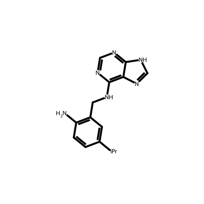 CC(C)c1ccc(N)c(CNc2ncnc3[nH]cnc23)c1